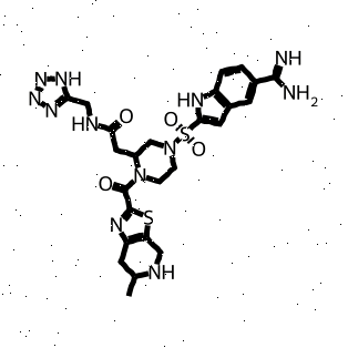 CC1Cc2nc(C(=O)N3CCN(S(=O)(=O)c4cc5cc(C(=N)N)ccc5[nH]4)CC3CC(=O)NCc3nnn[nH]3)sc2CN1